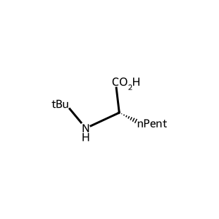 CCCCC[C@H](NC(C)(C)C)C(=O)O